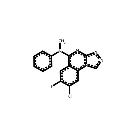 CN(c1ccccc1)c1nc2nncn2c2cc(Cl)c(F)cc12